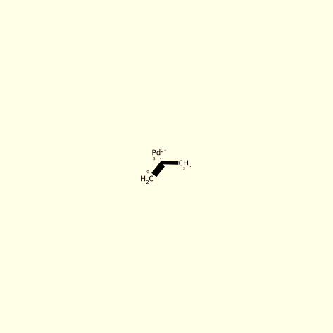 C=CC.[Pd+2]